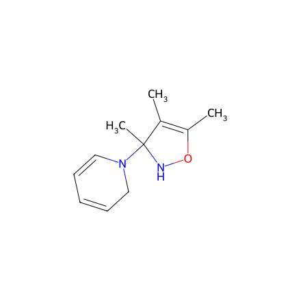 CC1=C(C)C(C)(N2C=CC=CC2)NO1